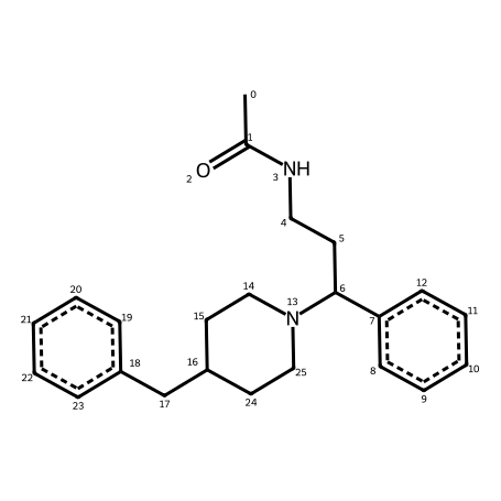 CC(=O)NCCC(c1ccccc1)N1CCC(Cc2ccccc2)CC1